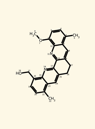 COc1ccc(C)c2cc3c(nc12)-c1nc2c(CO)ccc(C)c2cc1CC3